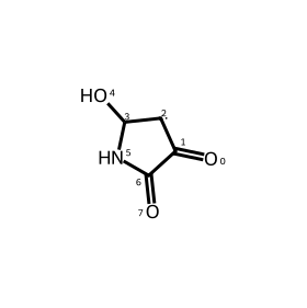 O=C1[CH]C(O)NC1=O